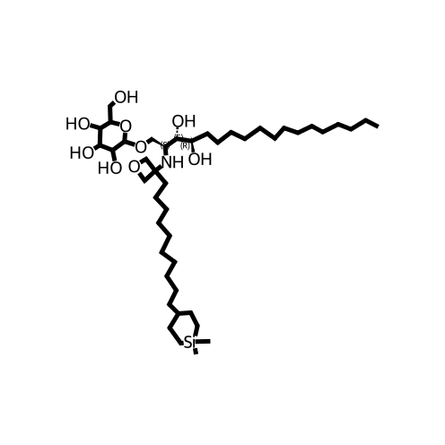 CCCCCCCCCCCCCC[C@@H](O)[C@@H](O)[C@H](COC1OC(CO)C(O)C(O)C1O)NC1(CCCCCCCCCCC2CC[Si](C)(C)CC2)COC1